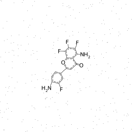 Nc1ccc(-c2cc(=O)c3c(N)c(F)c(F)c(F)c3o2)cc1F